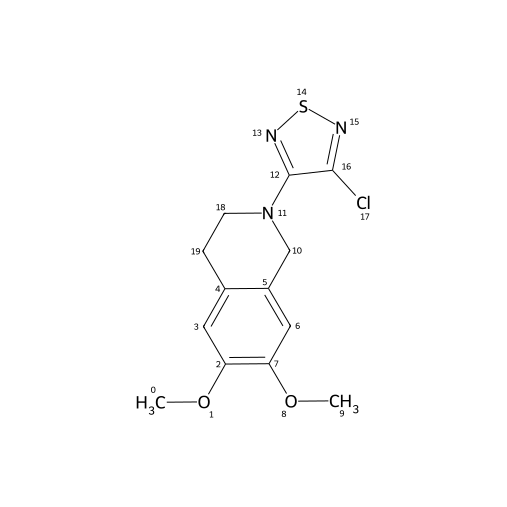 COc1cc2c(cc1OC)CN(c1nsnc1Cl)CC2